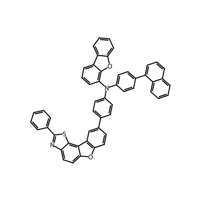 c1ccc(-c2nc3ccc4oc5ccc(-c6ccc(N(c7ccc(-c8cccc9ccccc89)cc7)c7cccc8c7oc7ccccc78)cc6)cc5c4c3s2)cc1